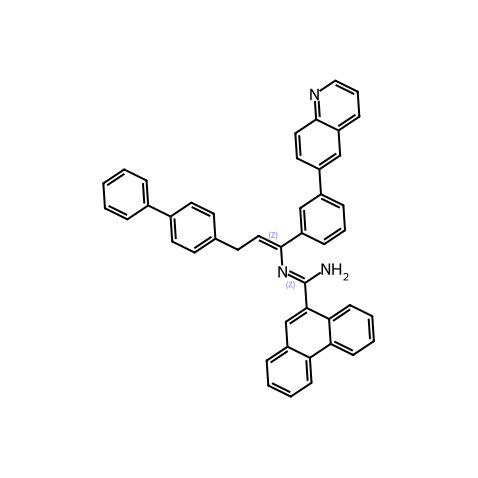 N/C(=N\C(=C/Cc1ccc(-c2ccccc2)cc1)c1cccc(-c2ccc3ncccc3c2)c1)c1cc2ccccc2c2ccccc12